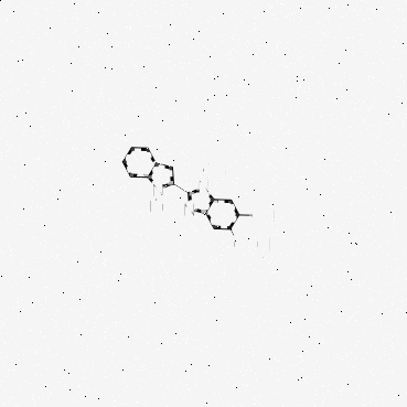 CCn1c(-c2nc3cc(C(=O)O)c(C)cc3n2C)cc2ccccc21